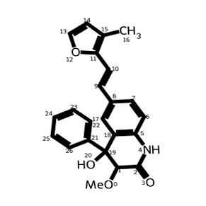 COC1C(=O)Nc2ccc(C=Cc3occc3C)cc2C1(O)c1ccccc1